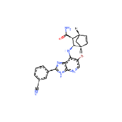 N#Cc1cccc(-c2nc3c(N[C@H]4[C@@H](C(N)=O)[C@@H]5C=C[C@H]4C5)c(Br)cnc3[nH]2)c1